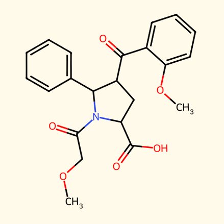 COCC(=O)N1C(C(=O)O)CC(C(=O)c2ccccc2OC)C1c1ccccc1